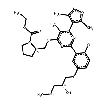 CCOC(=O)N1CCC[C@@H]1COc1nc(-c2cc(OC[C@H](O)CNC)ccc2Cl)nc(-c2c(C)noc2C)c1C